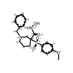 COc1ccc(S(=O)(=O)C2(C(=O)NO)CCCN(Cc3ccccc3)C2)cc1